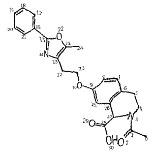 CC(=O)N1CCc2ccc(OCCc3nc(-c4ccccc4)oc3C)cc2C1C(=O)O